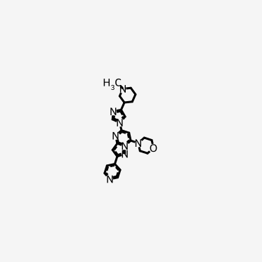 CN1CCCC(c2cn(-c3cc(N4CCOCC4)n4nc(-c5ccncc5)cc4n3)cn2)C1